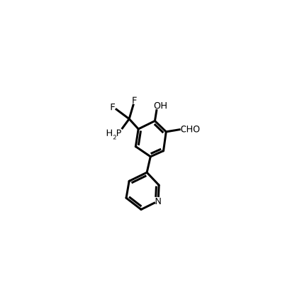 O=Cc1cc(-c2cccnc2)cc(C(F)(F)P)c1O